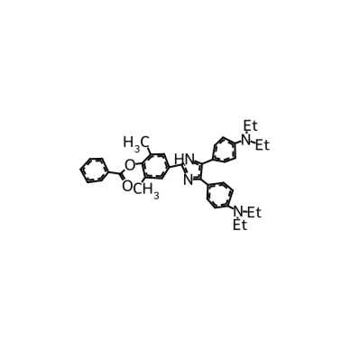 CCN(CC)c1ccc(-c2nc(-c3cc(C)c(OC(=O)c4ccccc4)c(C)c3)[nH]c2-c2ccc(N(CC)CC)cc2)cc1